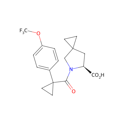 O=C(O)[C@@H]1CC2(CC2)CN1C(=O)C1(c2ccc(OC(F)(F)F)cc2)CC1